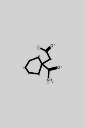 NC(=O)C1(CC(=O)Cl)CCCCC1